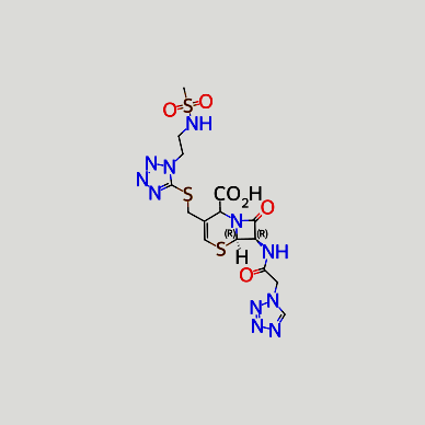 CS(=O)(=O)NCCn1nnnc1SCC1=CS[C@@H]2[C@H](NC(=O)Cn3cnnn3)C(=O)N2C1C(=O)O